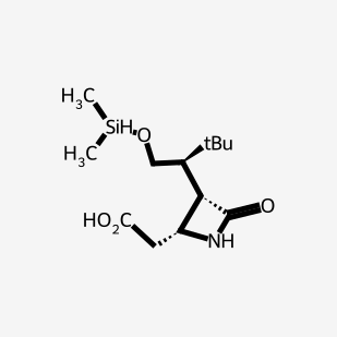 C[SiH](C)OC[C@H]([C@@H]1C(=O)N[C@@H]1CC(=O)O)C(C)(C)C